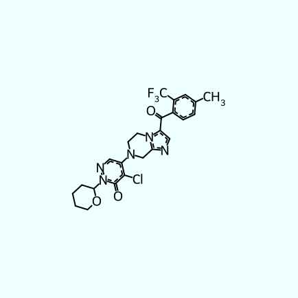 Cc1ccc(C(=O)c2cnc3n2CCN(c2cnn(C4CCCCO4)c(=O)c2Cl)C3)c(C(F)(F)F)c1